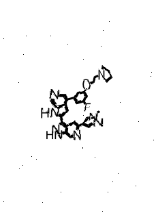 Cn1cc(-c2cc3c(-c4cc5c(-c6cc(F)cc(OCCN7CCCC7)c6)cncc5[nH]4)n[nH]c3cn2)cn1